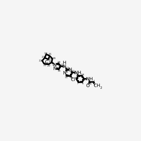 C=CC(=O)Nc1cccc(Nc2nc(Nc3cnn(C4CC5CC6CC(C4)C6C5)c3)ncc2Cl)c1